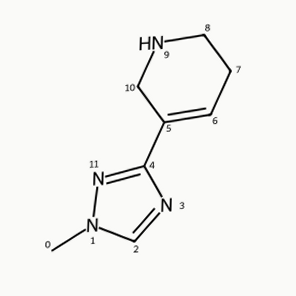 Cn1cnc(C2=CCCNC2)n1